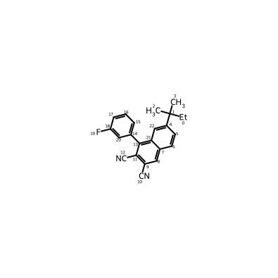 CCC(C)(C)c1ccc2cc(C#N)c(C#N)c(-c3cccc(F)c3)c2c1